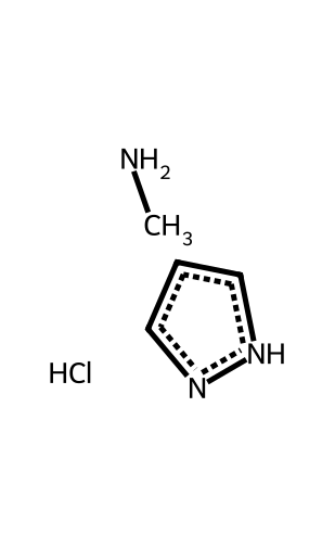 CN.Cl.c1cn[nH]c1